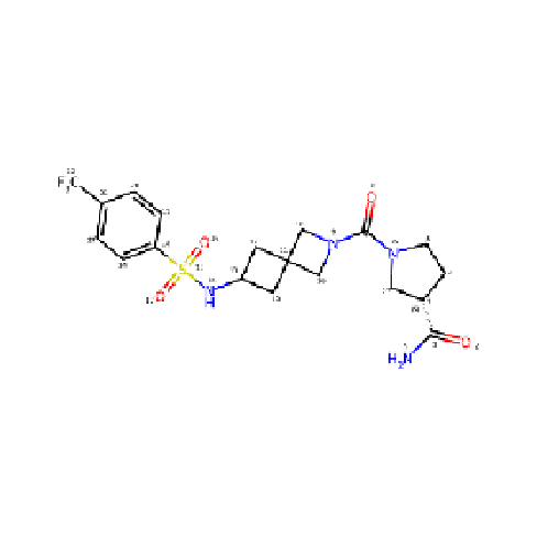 NC(=O)[C@H]1CCN(C(=O)N2CC3(CC(NS(=O)(=O)c4ccc(C(F)(F)F)cc4)C3)C2)C1